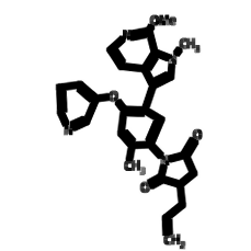 C=CCC1CC(=O)N(c2cc(-c3cn(C)c4c(OC)nccc34)c(Oc3cccnc3)cc2C)C1=O